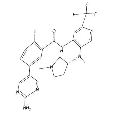 CN1CC[C@@H](N(C)c2ccc(C(F)(F)F)cc2NC(=O)c2cc(-c3cnc(N)nc3)ccc2F)C1